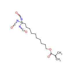 C=C(C)C(=O)OCCCCCCCCCC[Si](N=C=O)(N=C=O)N=C=O